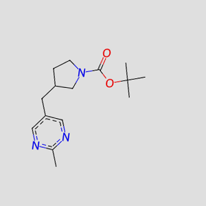 Cc1ncc(CC2CCN(C(=O)OC(C)(C)C)C2)cn1